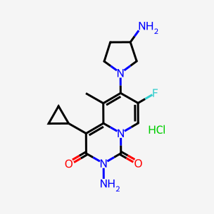 Cc1c(N2CCC(N)C2)c(F)cn2c(=O)n(N)c(=O)c(C3CC3)c12.Cl